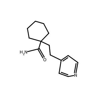 NC(=O)C1(CCc2ccncc2)CCCCC1